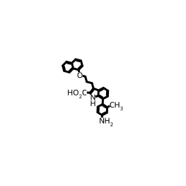 Cc1cc(N)ccc1-c1cccc2c(CCCOc3cccc4ccccc34)c(C(=O)O)[nH]c12